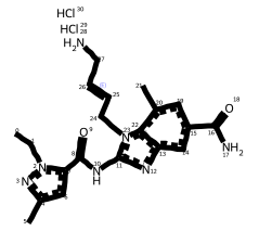 CCn1nc(C)cc1C(=O)Nc1nc2cc(C(N)=O)cc(C)c2n1C/C=C/CN.Cl.Cl